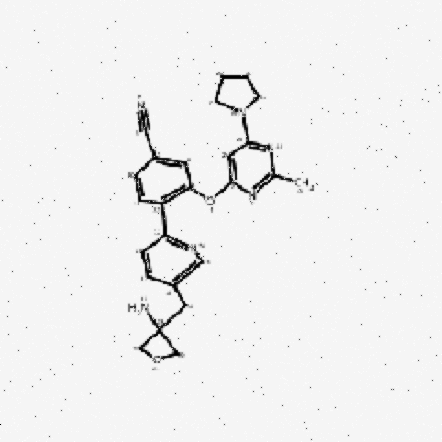 Cc1nc(Oc2cc(C#N)ccc2-c2ccc(CC3(N)COC3)cn2)cc(N2CCCC2)n1